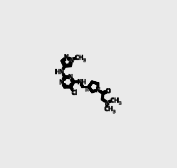 CN(C)CC(=O)N1CC[C@H](CNc2nc(Nc3cnn(C)c3)ncc2Cl)C1